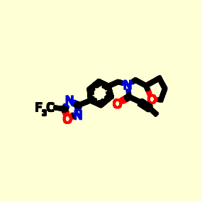 CC#CC(=O)N(Cc1ccc(-c2noc(C(F)(F)F)n2)cc1)CC1CCCO1